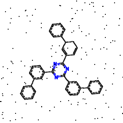 C1=CC(c2nc(-c3cccc(-c4ccccc4)c3)nc(-c3cccc(-c4ccccc4)c3)n2)=CC(c2ccccc2)C1